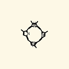 CC1=Cc2cc3cc(C)c(cc4nc(cc5[nH]c(cc1n2)c(C)c5C)C(C)=C4)[nH]3